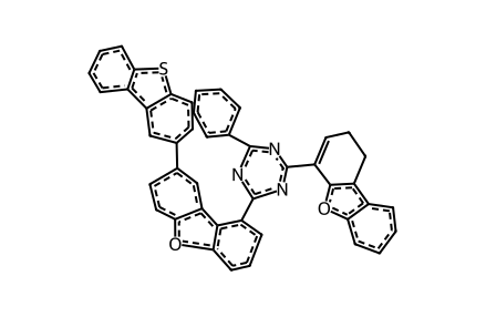 C1=C(c2nc(-c3ccccc3)nc(-c3cccc4oc5ccc(-c6ccc7sc8ccccc8c7c6)cc5c34)n2)c2oc3ccccc3c2CC1